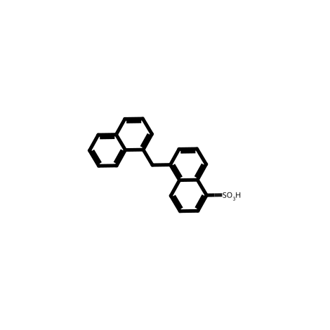 O=S(=O)(O)c1cccc2c(Cc3cccc4ccccc34)cccc12